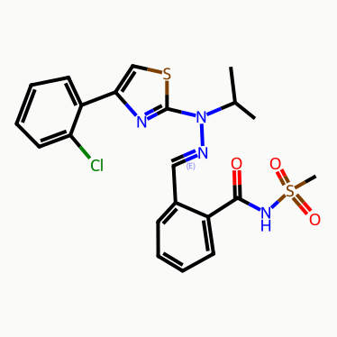 CC(C)N(/N=C/c1ccccc1C(=O)NS(C)(=O)=O)c1nc(-c2ccccc2Cl)cs1